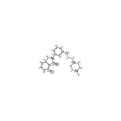 CN1CCN(CCOc2cccc(N3Cc4cccc(Cl)c4C3=O)c2)CC1